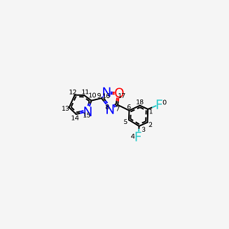 Fc1cc(F)cc(-c2nc(-c3ccccn3)no2)c1